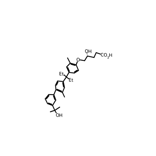 CCC(CC)(c1ccc(OC[C@H](O)CCC(=O)O)c(C)c1)c1ccc(-c2cccc(C(C)(C)O)c2)c(C)c1